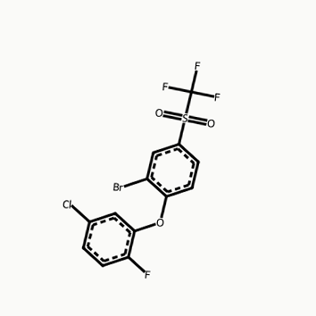 O=S(=O)(c1ccc(Oc2cc(Cl)ccc2F)c(Br)c1)C(F)(F)F